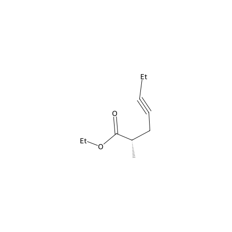 CCC#CC[C@H](C)C(=O)OCC